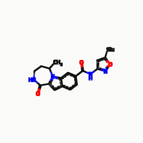 CC1CCNC(=O)c2cc3ccc(C(=O)Nc4cc(C(C)(C)C)on4)cc3n21